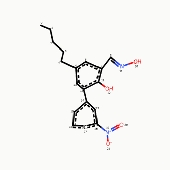 CCCCCc1cc(C=NO)c(O)c(-c2cccc([N+](=O)[O-])c2)c1